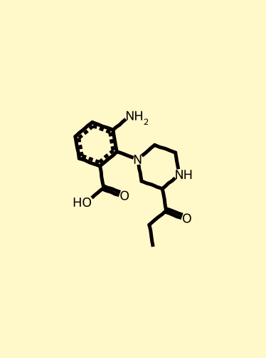 CCC(=O)C1CN(c2c(N)cccc2C(=O)O)CCN1